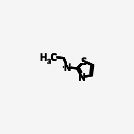 CC[N]c1nccs1